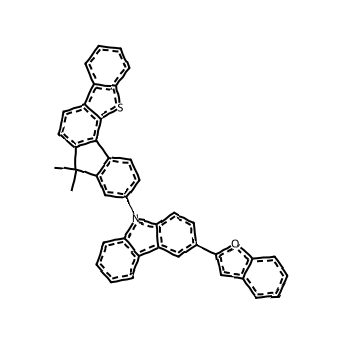 CC1(C)c2cc(-n3c4ccccc4c4cc(-c5cc6ccccc6o5)ccc43)ccc2-c2c1ccc1c2sc2ccccc21